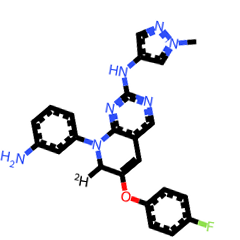 [2H]C1C(Oc2ccc(F)cc2)=Cc2cnc(Nc3cnn(C)c3)nc2N1c1cccc(N)c1